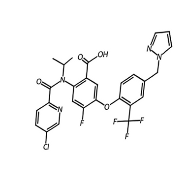 CC(C)N(C(=O)c1ccc(Cl)cn1)c1cc(F)c(Oc2ccc(Cn3cccn3)cc2C(F)(F)F)cc1C(=O)O